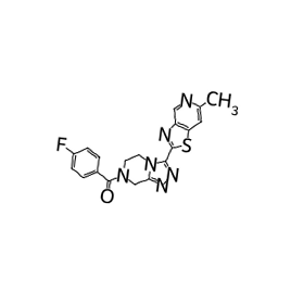 Cc1cc2sc(-c3nnc4n3CCN(C(=O)c3ccc(F)cc3)C4)nc2cn1